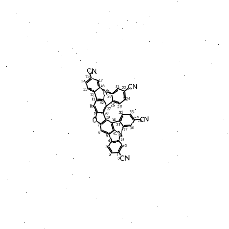 N#Cc1ccc2c3cc4oc5cc6c7ccc(C#N)cc7n7c8cc(C#N)ccc8c(c5c4c4c5ccc(C#N)cc5n(c2c1)c34)c67